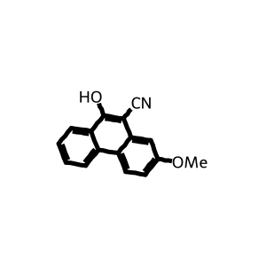 COc1ccc2c(c1)c(C#N)c(O)c1ccccc12